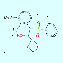 COc1cccc(C(C(O)C2CCCO2)S(=O)(=O)c2ccccc2)c1C